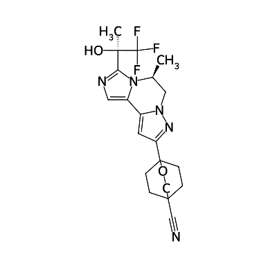 C[C@H]1Cn2nc(C34CCC(C#N)(CC3)CO4)cc2-c2cnc([C@@](C)(O)C(F)(F)F)n21